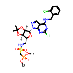 CCOP(=O)(CS(=O)(=O)NC[C@H]1O[C@@H](n2ncc3c(NCc4ccccc4Cl)nc(Cl)nc32)[C@@H]2OC(C)(C)O[C@@H]21)OCC